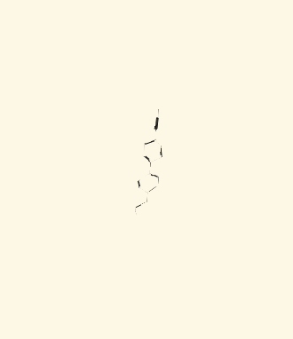 CC#Cc1ccc(-c2ccc(/C=C/C(=O)O)cc2)cc1